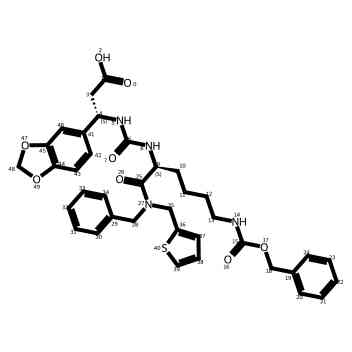 O=C(O)C[C@H](NC(=O)N[C@@H](CCCCNC(=O)OCc1ccccc1)C(=O)N(Cc1ccccc1)Cc1cccs1)c1ccc2c(c1)OCO2